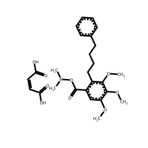 COc1cc(C(=O)ON(C)C)c(CCCCc2ccccc2)c(OC)c1OC.O=C(O)/C=C\C(=O)O